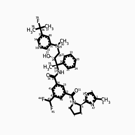 Cc1csc([C@H]2CCCN2C(=O)c2cc(C(=O)N[C@@](C)(c3ccccc3)[C@H](O)CN(C)c3cncc(C(C)(C)F)c3)cc(C(F)F)c2)n1